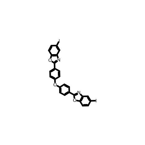 Ic1ccc2oc(-c3ccc(Oc4ccc(-c5nc6cc(I)ccc6o5)cc4)cc3)nc2c1